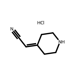 Cl.N#CC=C1CCNCC1